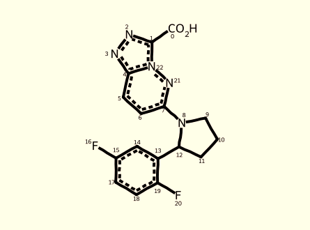 O=C(O)c1nnc2ccc(N3CCCC3c3cc(F)ccc3F)nn12